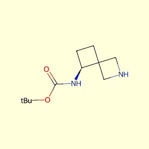 CC(C)(C)OC(=O)N[C@H]1CCC12CNC2